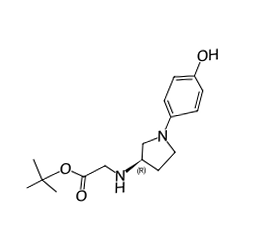 CC(C)(C)OC(=O)CN[C@@H]1CCN(c2ccc(O)cc2)C1